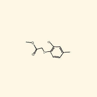 [CH2]c1ccc(OCC(=O)OC)c(Cl)c1